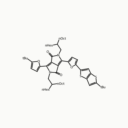 CCCCCCCCC(CCCCCC)CN1C(=O)C2=C(c3ccc(C(C)(C)C)o3)N(CC(CCCCCC)CCCCCCCC)C(=O)C2=C1c1ccc(-c2cc3sc(C(C)(C)C)cc3s2)o1